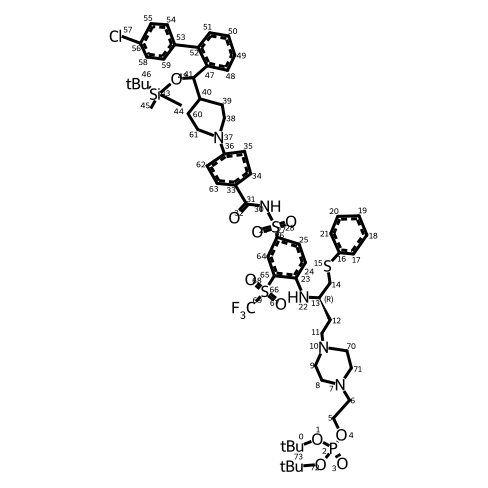 CC(C)(C)OP(=O)(OCCN1CCN(CC[C@H](CSc2ccccc2)Nc2ccc(S(=O)(=O)NC(=O)c3ccc(N4CCC(C(O[Si](C)(C)C(C)(C)C)c5ccccc5-c5ccc(Cl)cc5)CC4)cc3)cc2S(=O)(=O)C(F)(F)F)CC1)OC(C)(C)C